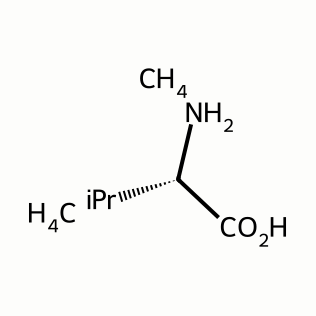 C.C.CC(C)[C@H](N)C(=O)O